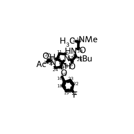 CN[C@@H](C)C(=O)N[C@H](C(=O)N1CC[C@@H]2[C@H]1[C@@H](OCc1ccc(F)cc1)CN2C(=O)C(C)=O)C(C)(C)C